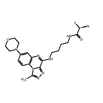 Cc1nnc2c(NCCCCNC(=O)[C@@H](F)C(C)C)nc3cc(N4CCOCC4)ccc3n12